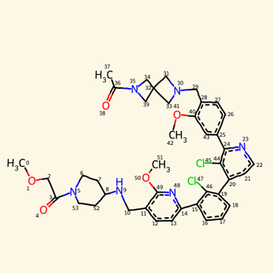 COCC(=O)N1CCC(NCc2ccc(-c3cccc(-c4ccnc(-c5ccc(CN6CC7(C6)CN(C(C)=O)C7)c(OC)c5)c4Cl)c3Cl)nc2OC)CC1